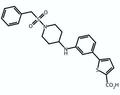 O=C(O)c1ccc(-c2cccc(NC3CCN(S(=O)(=O)Cc4ccccc4)CC3)c2)s1